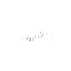 C#CCOc1ccc(OCC(O)CN2CCN(c3ccc(Cl)cc3)CC2)c2c1NC(=O)CC2